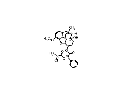 COc1ccc2c3c1OC1C(OC(=O)[C@@H](OC(=O)[C@H](C)O)c4ccccc4)=CC[C@@]4(O)[C@@H](C2)N(C)CCC314